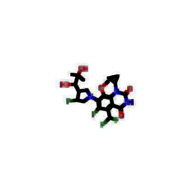 COc1c(N2CC(F)C(C(O)C(C)(C)O)C2)c(F)c(C(F)F)c2c(=O)[nH]c(=O)n(C3CC3)c12